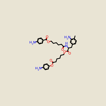 Cc1ccc(CC(NC(=O)CCCCCOC(=O)c2ccc(N)cc2)C(=O)OCCCCCC(=O)Oc2ccc(N)cc2)cc1N